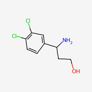 NC(CCO)c1ccc(Cl)c(Cl)c1